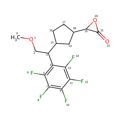 CO[CH]C(c1c(F)c(F)c(F)c(F)c1F)C1C[CH]C(C2OC2=O)C1